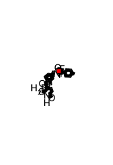 BC1(N2Cc3cc(CNC(=O)C(F)(F)C4CCC(C)CC4)ccc3C2=O)CCC(=O)NC1=O